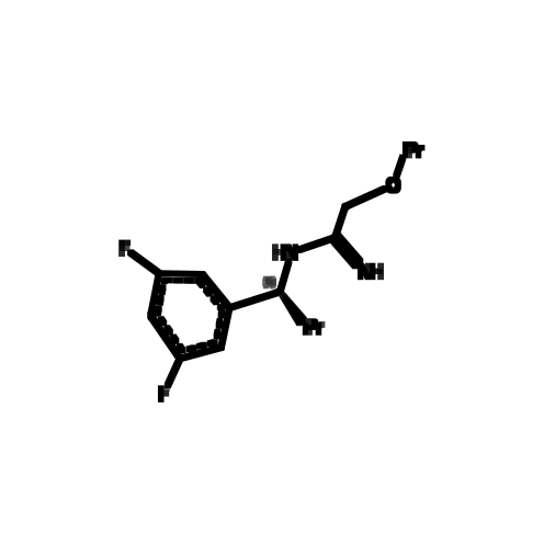 CC(C)OCC(=N)N[C@H](c1cc(F)cc(F)c1)C(C)C